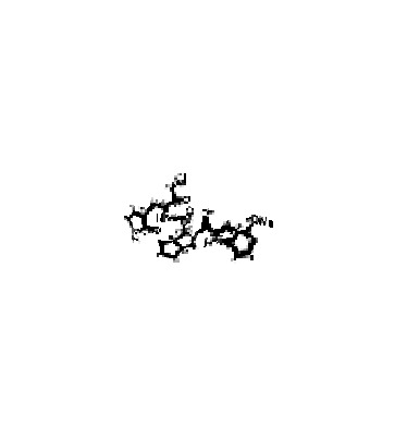 COc1cccc2[nH]c(C(=O)N3CC4CCCC4[C@H]3C(=O)NC(CC3CCNC3=O)C(=O)CCl)cc12